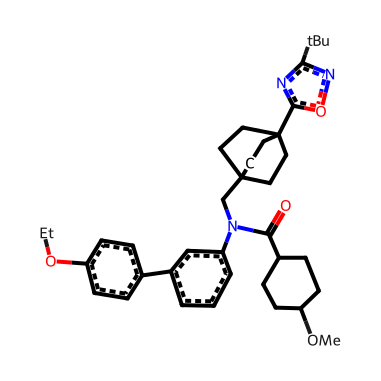 CCOc1ccc(-c2cccc(N(CC34CCC(c5nc(C(C)(C)C)no5)(CC3)CC4)C(=O)C3CCC(OC)CC3)c2)cc1